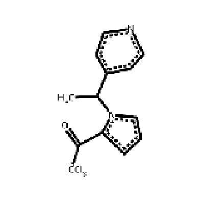 CC(c1ccncc1)n1cccc1C(=O)C(Cl)(Cl)Cl